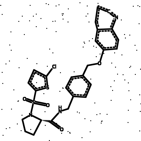 O=C(NCc1ccc(COc2ccc3ncccc3c2)cc1)[C@@H]1CCCN1S(=O)(=O)c1ccc(Cl)s1